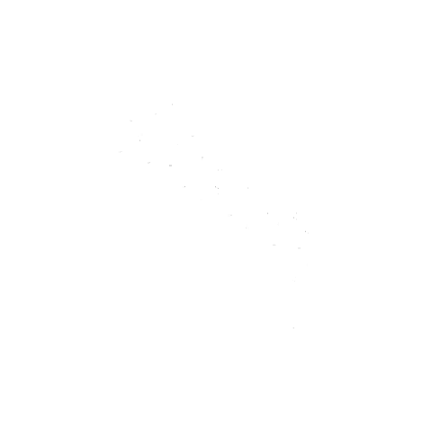 CCOC(=O)Cc1nnc(-c2ccc(N3CCC(Oc4ccccc4C(F)(F)F)CC3)cc2)s1